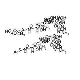 CC(=O)SCCNC(=O)CCNC(=O)[C@H](O)C(C)(C)COP(=O)(O)OP(=O)(O)OC[C@H]1O[C@@H](n2cnc3c(N)ncnc32)[C@H](O)[C@@H]1OP(=O)(O)O.CC(O)(CC(=O)O)CC(=O)SCCNC(=O)CCNC(=O)[C@H](O)C(C)(C)COP(=O)(O)OP(=O)(O)OC[C@H]1O[C@@H](n2cnc3c(N)ncnc32)[C@H](O)[C@@H]1OP(=O)(O)O